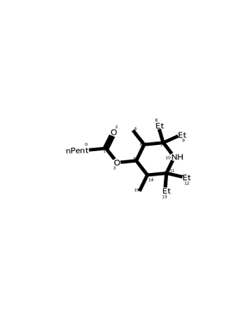 CCCCCC(=O)OC1C(C)C(CC)(CC)NC(CC)(CC)C1C